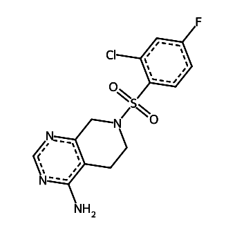 Nc1ncnc2c1CCN(S(=O)(=O)c1ccc(F)cc1Cl)C2